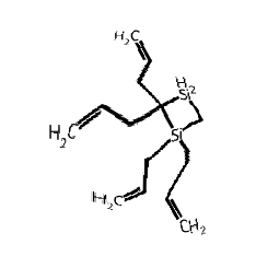 C=CCC1(CC=C)[SiH2]C[Si]1(CC=C)CC=C